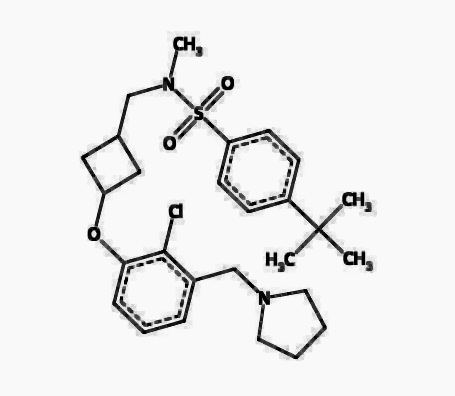 CN(CC1CC(Oc2cccc(CN3CCCC3)c2Cl)C1)S(=O)(=O)c1ccc(C(C)(C)C)cc1